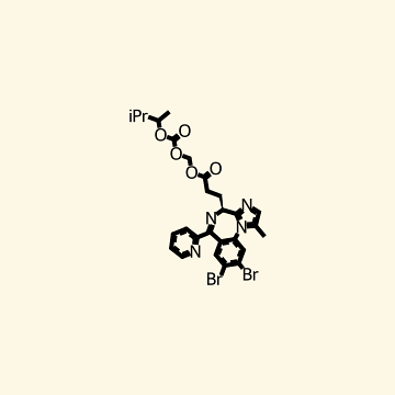 Cc1cnc2n1-c1cc(Br)c(Br)cc1C(c1ccccn1)=N[C@H]2CCC(=O)OCOC(=O)OC(C)C(C)C